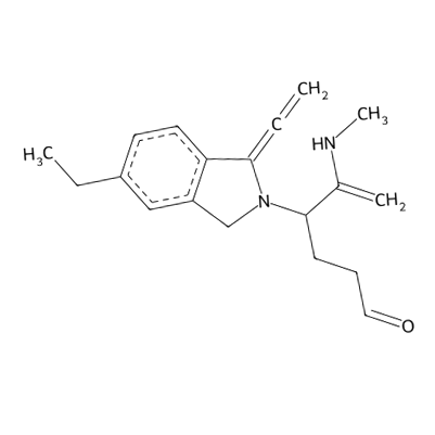 C=C=C1c2ccc(CC)cc2CN1C(CCC=O)C(=C)NC